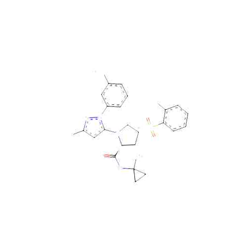 COc1cccc(-n2nc(C)cc2N2C[C@H](S(=O)(=O)c3ccccc3C(F)(F)F)C[C@H]2C(=O)NC2(C#N)CC2)c1